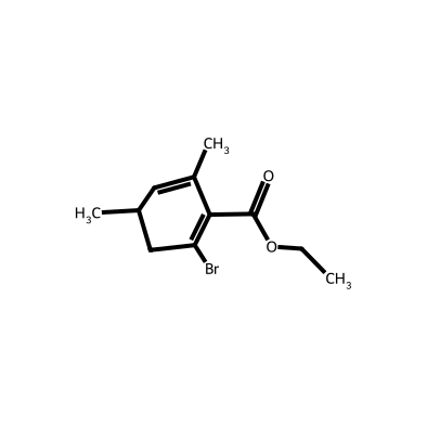 CCOC(=O)C1=C(Br)CC(C)C=C1C